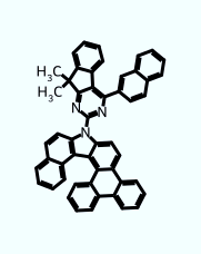 CC1(C)c2ccccc2-c2c(-c3ccc4ccccc4c3)nc(-n3c4ccc5ccccc5c4c4c5c6ccccc6c6ccccc6c5ccc43)nc21